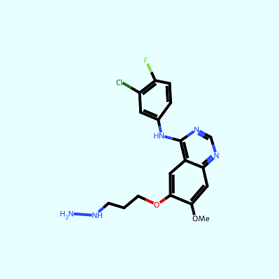 COc1cc2ncnc(Nc3ccc(F)c(Cl)c3)c2cc1OCCCNN